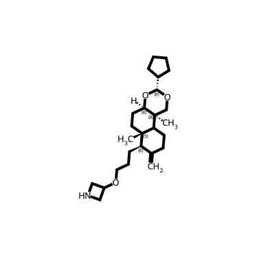 C=C1CCC2[C@]3(C)CO[C@@H](C4CCCC4)O[C@@H]3CC[C@@]2(C)[C@@H]1CCCOC1CNC1